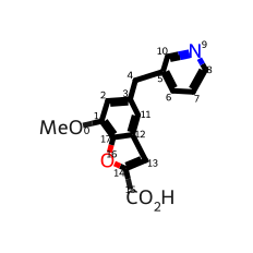 COc1cc(Cc2cccnc2)cc2cc(C(=O)O)oc12